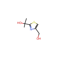 CC(C)(O)c1nc(CO)[c]s1